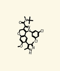 COc1cc2c(cc1-c1c(C)n[nH]c1C)-c1c(c(C(=O)N(C)C(C)(C)C)nn1-c1cc(Cl)cc(Cl)c1)CO2